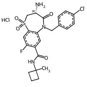 CC1(NC(=O)c2cc3c(cc2F)S(=O)(=O)C[C@H](N)C(=O)N3Cc2ccc(Cl)cc2)CCC1.Cl